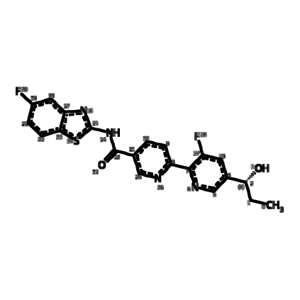 CC[C@@H](O)c1cnc(-c2ccc(C(=O)Nc3nc4cc(F)ccc4s3)cn2)c(F)c1